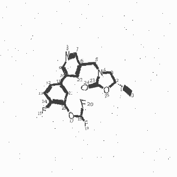 C#C[C@H]1CN(Cc2cncc(-c3ccc(F)c(OC(F)F)c3)c2)C(=O)O1